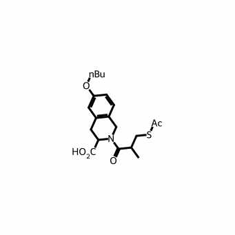 CCCCOc1ccc2c(c1)CC(C(=O)O)N(C(=O)C(C)CSC(C)=O)C2